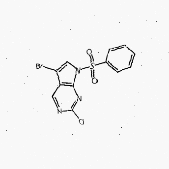 O=S(=O)(c1ccccc1)n1cc(Br)c2cnc(Cl)nc21